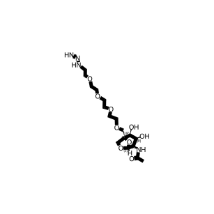 CC(=O)N[C@H]1[C@H]2OC[C@](COCCOCCOCCOCCNN=N)(O2)[C@H](O)[C@@H]1O